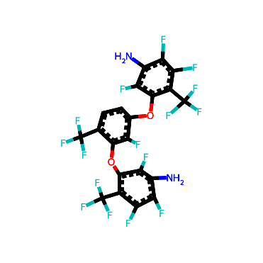 Nc1c(F)c(F)c(C(F)(F)F)c(Oc2ccc(C(F)(F)F)c(Oc3c(F)c(N)c(F)c(F)c3C(F)(F)F)c2F)c1F